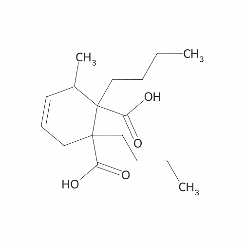 CCCCC1(C(=O)O)CC=CC(C)C1(CCCC)C(=O)O